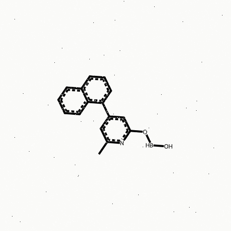 Cc1cc(-c2cccc3ccccc23)cc(OBO)n1